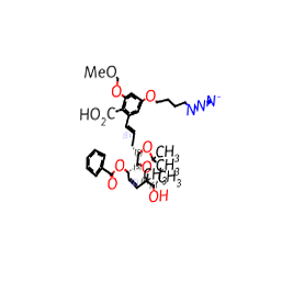 COCOc1cc(OCCCCN=[N+]=[N-])cc(/C=C/C[C@@H]2OC(C)(C)O[C@@H]2C(/C=C\[C@@H](C)[C@H](C)O)OC(=O)c2ccccc2)c1C(=O)O